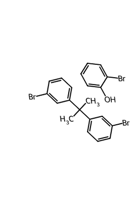 CC(C)(c1cccc(Br)c1)c1cccc(Br)c1.Oc1ccccc1Br